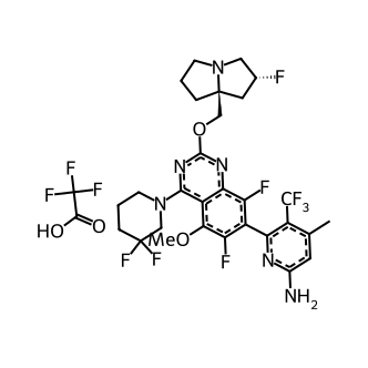 COc1c(F)c(-c2nc(N)cc(C)c2C(F)(F)F)c(F)c2nc(OC[C@@]34CCCN3C[C@H](F)C4)nc(N3CCCC(F)(F)C3)c12.O=C(O)C(F)(F)F